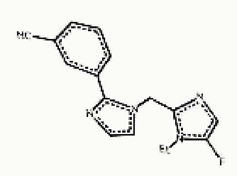 CCn1c(F)cnc1Cn1ccnc1-c1cccc(C#N)c1